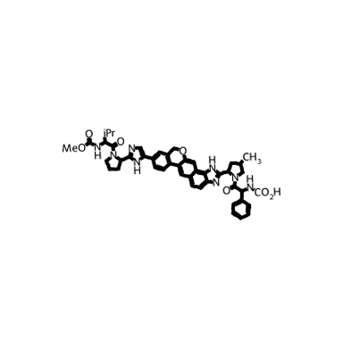 COC(=O)NC(C(=O)N1CCCC1c1ncc(-c2ccc3c(c2)COc2cc4c(ccc5nc(C6CC(C)CN6C(=O)C(NC(=O)O)c6ccccc6)[nH]c54)cc2-3)[nH]1)C(C)C